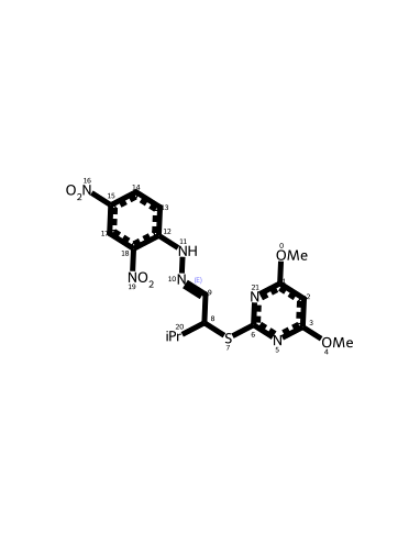 COc1cc(OC)nc(SC(/C=N/Nc2ccc([N+](=O)[O-])cc2[N+](=O)[O-])C(C)C)n1